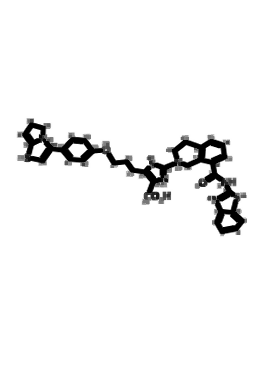 O=C(Nc1nc2ccccc2s1)c1cccc2c1CN(c1nc(C(=O)O)c(CCCOc3ccc(C4=CSC5=CCCN54)cc3)s1)CC2